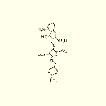 COc1cc(/N=N/c2c(S(=O)(=O)O)cc3cccc(N)c3c2O)c(OC)cc1/N=N/c1ccc(C)cc1